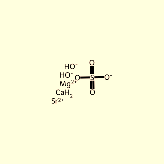 O=S(=O)([O-])[O-].[CaH2].[Mg+2].[OH-].[OH-].[Sr+2]